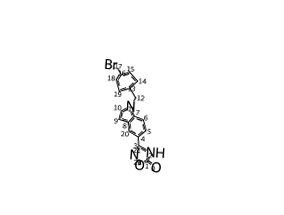 O=c1[nH]c(-c2ccc3c(ccn3Cc3ccc(Br)cc3)c2)no1